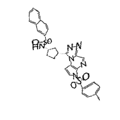 Cc1ccc(S(=O)(=O)n2ccc3c2ncc2nnc([C@@H]4CC[C@H](NS(=O)(=O)c5ccc6ccccc6c5)C4)n23)cc1